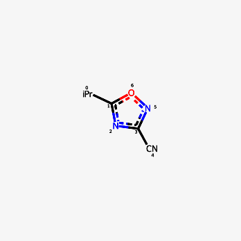 CC(C)c1nc(C#N)no1